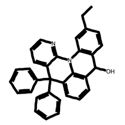 CCc1ccc2c(c1)N1c3ncccc3C(c3ccccc3)(c3ccccc3)c3cccc(c31)C2O